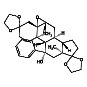 C[C@]12C[C@@](O)(c3ccccc3)[C@H]3[C@@H](C[C@H]4O[C@]45CC4(CC[C@]35C)OCCO4)[C@@H]1CCC21OCCO1